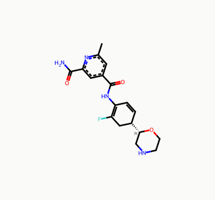 Cc1cc(C(=O)NC2=C(F)CC([C@H]3CNCCO3)C=C2)cc(C(N)=O)n1